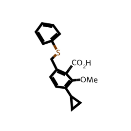 COc1c(C2CC2)ccc(CSc2ccccc2)c1C(=O)O